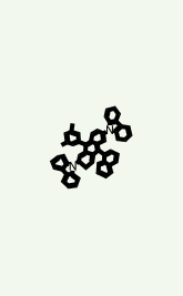 Cc1cc(C)cc(-c2c3c(c(-c4cccc5ccccc45)c4cc(-n5c6c(c7c5CCC=C7)CCC=C6)ccc24)=CCC(n2c4ccccc4c4ccccc42)C=3)c1